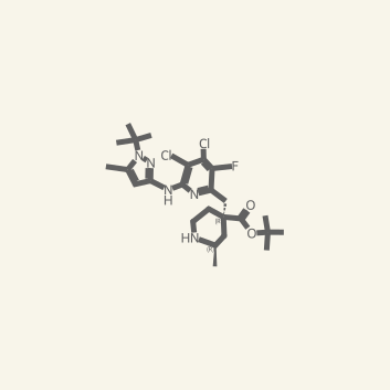 Cc1cc(Nc2nc(C[C@@]3(C(=O)OC(C)(C)C)CCN[C@H](C)C3)c(F)c(Cl)c2Cl)nn1C(C)(C)C